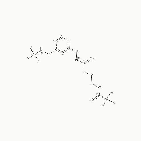 CC(C)(C)NCc1cccc(CNC(=O)CCCCC(=O)C(C)(C)C)c1